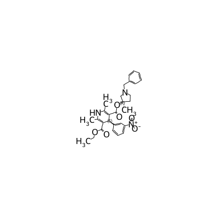 CCOC(=O)C1=C(C)NC(C)=C(C(=O)O[C@]2(C)CCN(Cc3ccccc3)C2)[C@H]1c1cccc([N+](=O)[O-])c1